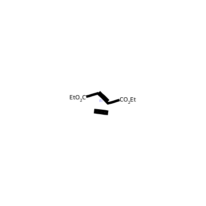 C=C.CCOC(=O)/C=C/C(=O)OCC